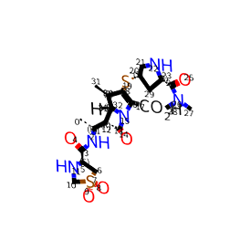 C[C@@H](NC(=O)[C@H]1CS(=O)(=O)CN1)[C@H]1C(=O)N2C(C(=O)O)=C(S[C@@H]3CN[C@H](C(=O)N(C)C)C3)[C@H](C)[C@@H]12